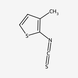 Cc1ccsc1N=C=S